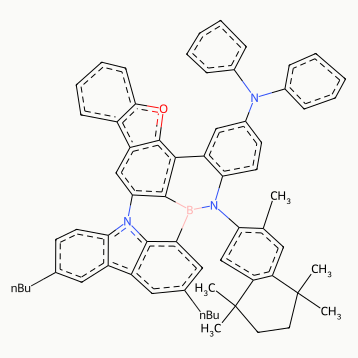 CCCCc1ccc2c(c1)c1cc(CCCC)cc3c1n2-c1cc2c(oc4ccccc42)c2c1B3N(c1cc3c(cc1C)C(C)(C)CCC3(C)C)c1ccc(N(c3ccccc3)c3ccccc3)cc1-2